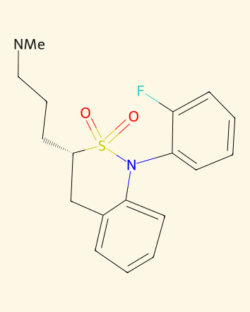 CNCCC[C@H]1Cc2ccccc2N(c2ccccc2F)S1(=O)=O